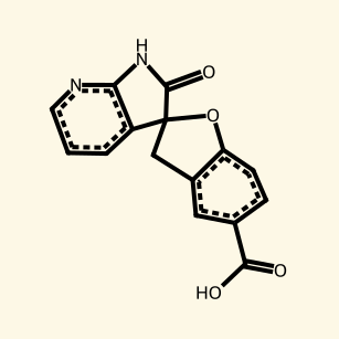 O=C(O)c1ccc2c(c1)CC1(O2)C(=O)Nc2ncccc21